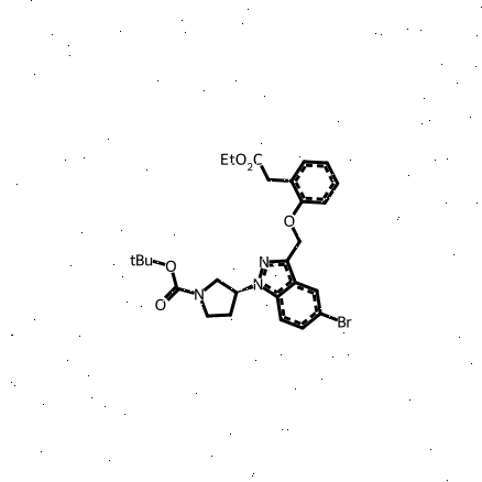 CCOC(=O)Cc1ccccc1OCc1nn([C@H]2CCN(C(=O)OC(C)(C)C)C2)c2ccc(Br)cc12